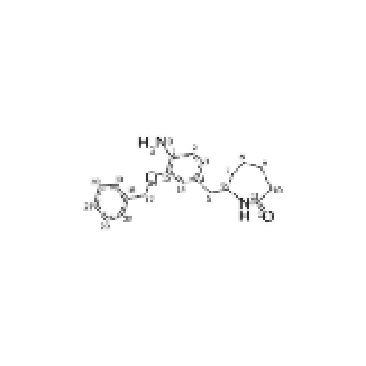 Nc1ccc(CC2CCCCC(=O)N2)cc1OCc1ccccc1